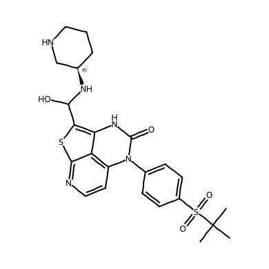 CC(C)(C)S(=O)(=O)c1ccc(N2C(=O)Nc3c(C(O)N[C@@H]4CCCNC4)sc4nccc2c34)cc1